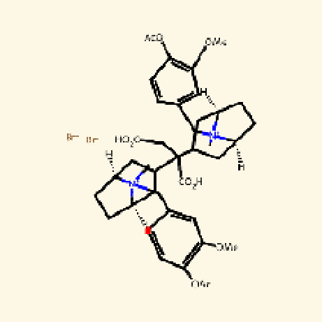 COc1cc(C[N+]2(C)[C@@H]3CC[C@H]2CC(C(CC(=O)O)(C(=O)O)C2C[C@H]4CC[C@@H](C2)[N+]4(C)Cc2ccc(OC(C)=O)c(OC)c2)C3)ccc1OC(C)=O.[Br-].[Br-]